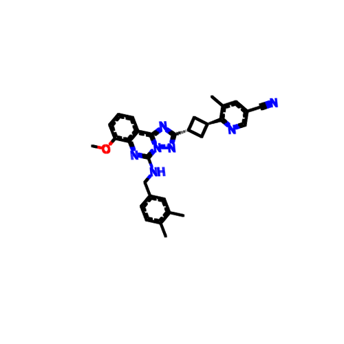 COc1cccc2c1nc(NCc1ccc(C)c(C)c1)n1nc([C@H]3C[C@H](c4ncc(C#N)cc4C)C3)nc21